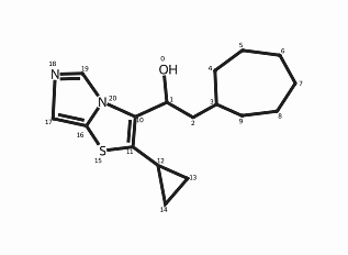 OC(CC1CCCCCC1)c1c(C2CC2)sc2cncn12